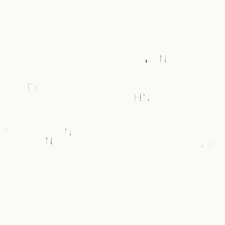 CCc1c(Cl)nn(C)c1-c1csc(C(=O)N[C@H](CN)Cc2ccccc2C(F)(F)F)c1